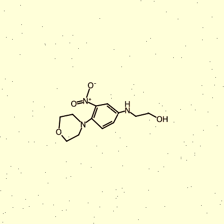 O=[N+]([O-])c1cc(NCCO)ccc1N1CCOCC1